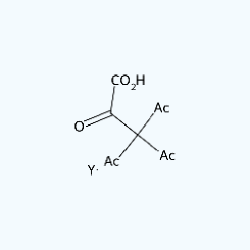 CC(=O)C(C(C)=O)(C(C)=O)C(=O)C(=O)O.[Y]